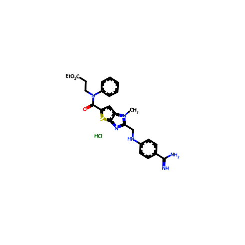 CCOC(=O)CCN(C(=O)c1cc2c(nc(CNc3ccc(C(=N)N)cc3)n2C)s1)c1ccccc1.Cl